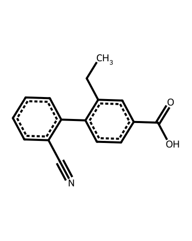 CCc1cc(C(=O)O)ccc1-c1ccccc1C#N